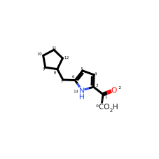 O=C(O)C(=O)c1ccc(CC2CCCC2)[nH]1